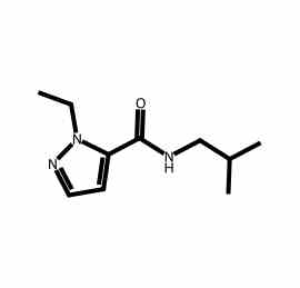 CCn1nccc1C(=O)NCC(C)C